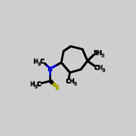 BC1(C)CCCC(N(C)C(C)=S)C(C)C1